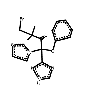 CC(C)(CBr)C(=O)C(Oc1ccccc1)(c1nc[nH]n1)n1ccnc1